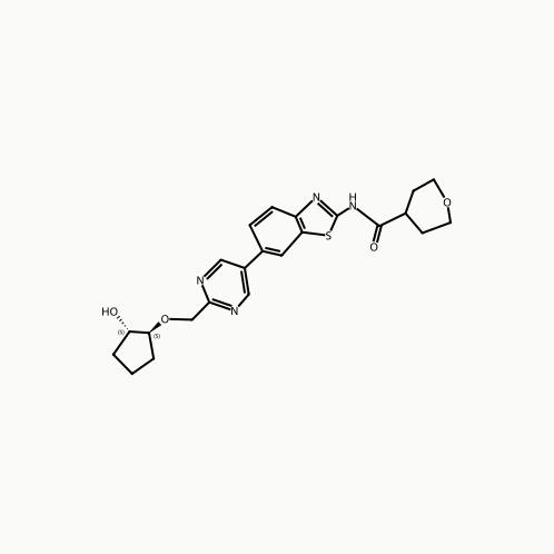 O=C(Nc1nc2ccc(-c3cnc(CO[C@H]4CCC[C@@H]4O)nc3)cc2s1)C1CCOCC1